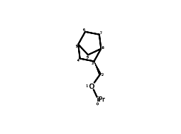 CC(C)OC[C@H]1CC2CCC1C2